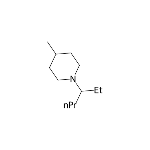 CCCC(CC)N1CCC(C)CC1